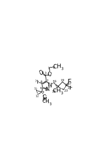 CCOC(=O)c1c(I)c(C2(OC)CC2)nn1CC1(C)CC(F)(F)C1